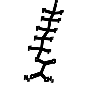 C=C(C)C(=O)OC(F)(F)C(F)(F)C(F)(F)C(F)(F)C(F)(F)F